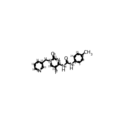 Cc1ccc(NC(=O)Nc2nc(=O)n(Cc3cccnc3)cc2F)cc1